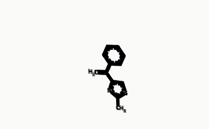 C=C(c1cc[c]cc1)c1csc(C)n1